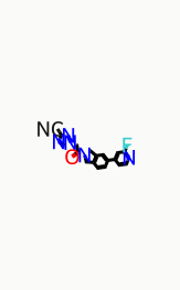 N#Cc1ncn(CC(=O)N2Cc3ccc(-c4ccnc(F)c4)cc3C2)n1